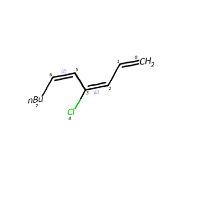 C=C/C=C(Cl)\C=C/CCCC